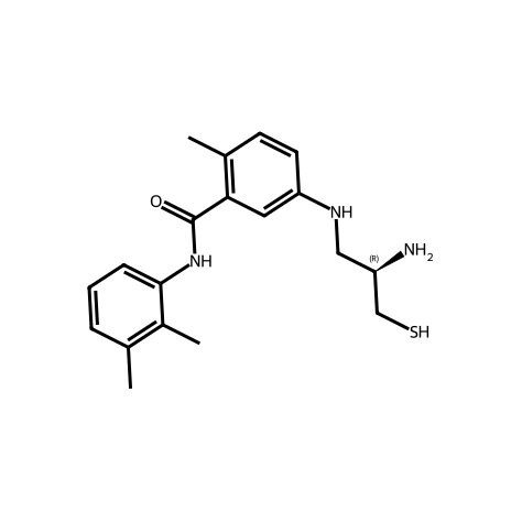 Cc1ccc(NC[C@@H](N)CS)cc1C(=O)Nc1cccc(C)c1C